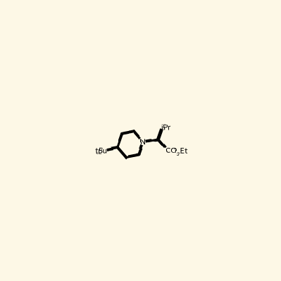 CCOC(=O)C(C(C)C)N1CCC(C(C)(C)C)CC1